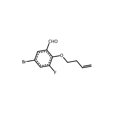 C=CCCOc1c(F)cc(Br)cc1C=O